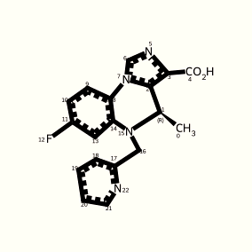 C[C@@H]1c2c(C(=O)O)ncn2-c2ccc(F)cc2N1Cc1ccccn1